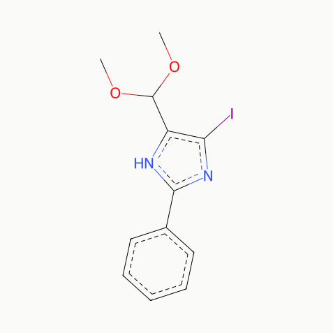 COC(OC)c1[nH]c(-c2ccccc2)nc1I